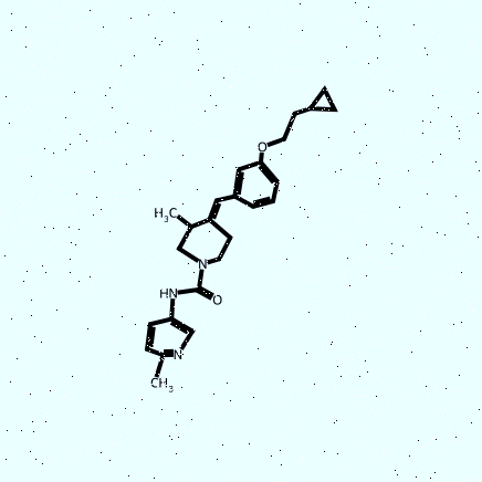 Cc1ccc(NC(=O)N2CCC(=Cc3cccc(OCCC4CC4)c3)C(C)C2)cn1